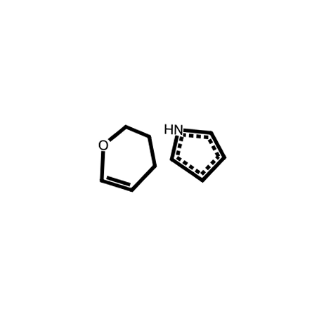 C1=COCCC1.c1cc[nH]c1